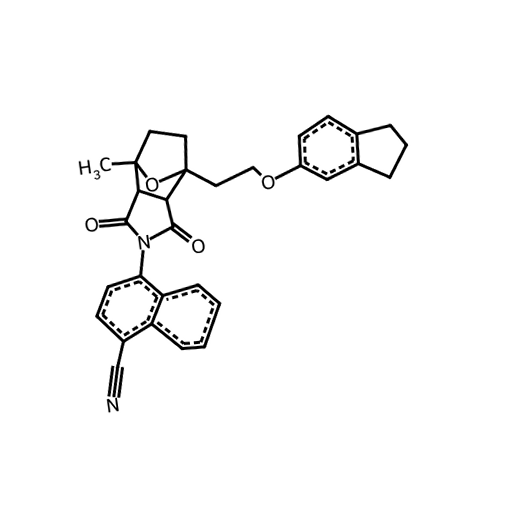 CC12CCC(CCOc3ccc4c(c3)CCC4)(O1)C1C(=O)N(c3ccc(C#N)c4ccccc34)C(=O)C12